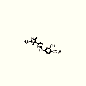 Cc1nc(N)sc1-c1csc(Nc2ccc(C(=O)O)c(O)c2)n1